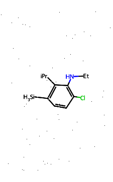 CCNc1c(Cl)ccc([SiH3])c1C(C)C